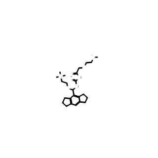 CCN(CC)CCSCc1nnc(NC(OCC[Si](C)(C)C)c2c3c(cc4c2CCC4)CCC3)[nH]1